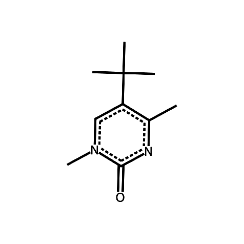 Cc1nc(=O)n(C)cc1C(C)(C)C